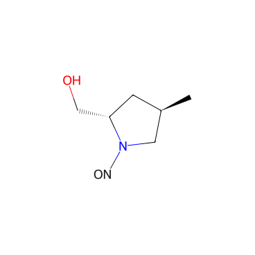 C[C@@H]1C[C@@H](CO)N(N=O)C1